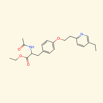 CCOC(=O)C(Cc1ccc(OCCc2ccc(CC)cn2)cc1)NC(C)=O